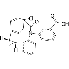 O=C(O)c1cccc(N2C(=O)C3(Cl)C=CC(=CC3)[C@H]3C[C@H]3c3ccccc32)c1